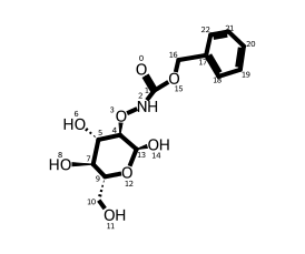 O=C(NO[C@@H]1[C@@H](O)[C@H](O)[C@@H](CO)O[C@@H]1O)OCc1ccccc1